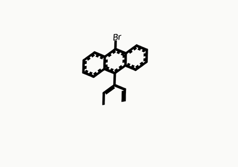 C=C/C(=C\C)c1c2ccccc2c(Br)c2ccccc12